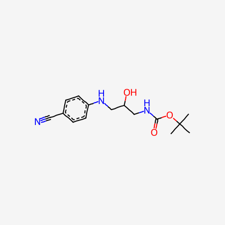 CC(C)(C)OC(=O)NCC(O)CNc1ccc(C#N)cc1